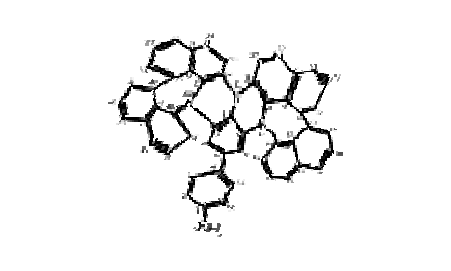 Nc1ccc(-c2cc3c4c(c2)-n2c5cccc6cccc(c7cccc8ncc(c2c87)B4c2cnc4cccc7c8cccc9cccc(c98)n-3c2c47)c65)cc1